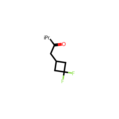 CC(C)C(=O)CC1CC(F)(F)C1